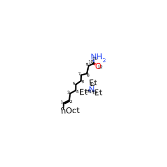 CCCCCCCCC=CCCCCCCCC(N)=O.CCN(CC)CC